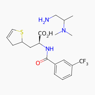 CC(CN)N(C)C.O=C(N[C@@H](CC1CC=CS1)C(=O)O)c1cccc(C(F)(F)F)c1